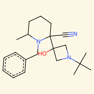 CC1CCCC(C#N)(C2(O)CN(C(C)(C)C)C2)N1Cc1ccccc1